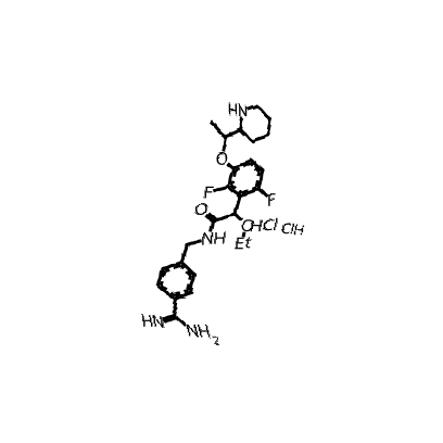 CCOC(C(=O)NCc1ccc(C(=N)N)cc1)c1c(F)ccc(OC(C)C2CCCCN2)c1F.Cl.Cl